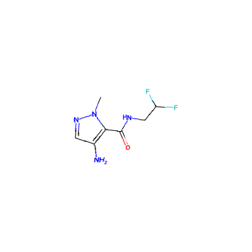 Cn1ncc(N)c1C(=O)NCC(F)F